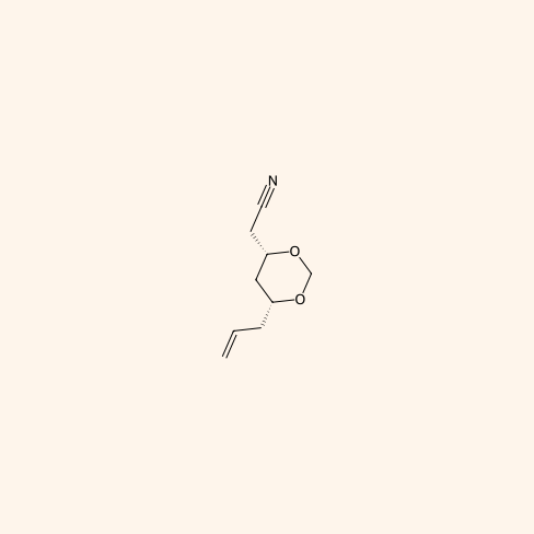 C=CC[C@@H]1C[C@H](CC#N)OCO1